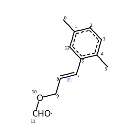 Cc1ccc(C)c(/C=C/CO[C]=O)c1